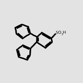 O=S(=O)(O)c1ccc(-c2ccccc2)c(-c2ccccc2)c1